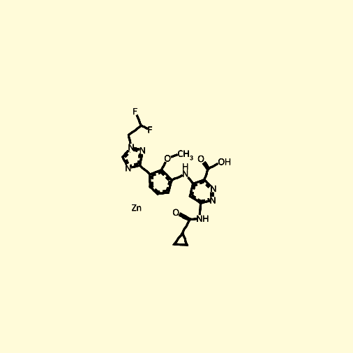 COc1c(Nc2cc(NC(=O)C3CC3)nnc2C(=O)O)cccc1-c1ncn(CC(F)F)n1.[Zn]